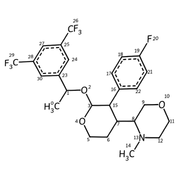 CC(OC1OCCC(C2COCCN2C)C1c1ccc(F)cc1)c1cc(C(F)(F)F)cc(C(F)(F)F)c1